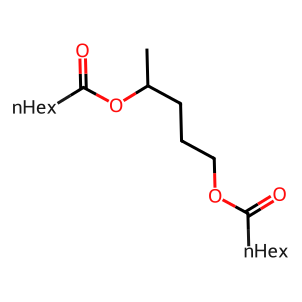 CCCCCCC(=O)OCCCC(C)OC(=O)CCCCCC